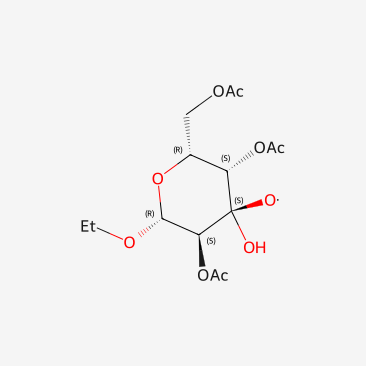 CCO[C@@H]1O[C@H](COC(C)=O)[C@H](OC(C)=O)[C@]([O])(O)[C@H]1OC(C)=O